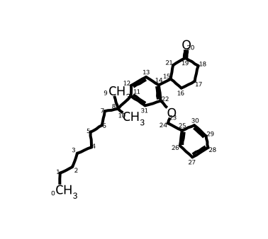 CCCCCCCCC(C)(C)c1ccc(C2CCCC(=O)C2)c(OCc2ccccc2)c1